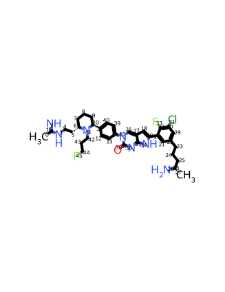 CC(=N)NCC[C@@H]1CCC[C@@H](c2ccc(-n3cc4cc(-c5cc(CCC[C@H](C)N)cc(Cl)c5F)[nH]c4nc3=O)cc2)N1CCCF